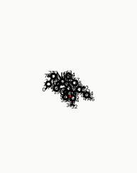 Cc1ccc(-c2cc(Nc3cc4c(c5c3oc3ccccc35)-c3c(cc(N(c5ccc(C(C)C)cc5)c5ccc(C)c(-c6ccc(C)cc6)c5)c5c3oc3ccccc35)C43c4ccccc4-c4ccccc43)ccc2C)cc1